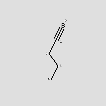 B#CCCC